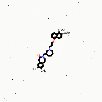 COc1ccc2c(OCCCN3CCCCC(CN4CCc5cc(C)c(C)cc5CC4=O)C3)cccc2c1OC